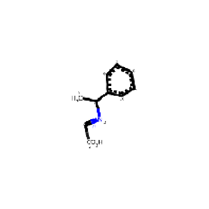 CC(/N=C/C(=O)O)c1ccccc1